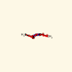 C=CC(=O)OCCCOC(=O)C=Cc1ccc(N=Nc2ccc(N=Nc3ccc(OCCOCCCCCC)c4ccccc34)cc2)cc1